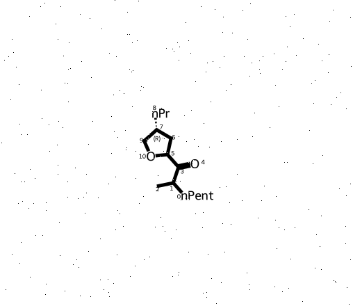 CCCCCC(C)C(=O)C1C[C@@H](CCC)CO1